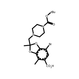 Cc1c(C(=O)O)cc(Br)c2c1OC(C)(CN1CCN(C(=O)OC(C)(C)C)CC1)O2